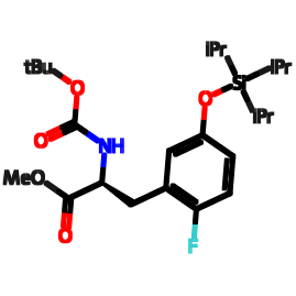 COC(=O)[C@H](Cc1cc(O[Si](C(C)C)(C(C)C)C(C)C)ccc1F)NC(=O)OC(C)(C)C